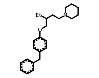 CCC(CCN1CCCCC1)COc1ccc(Cc2ccccc2)cc1